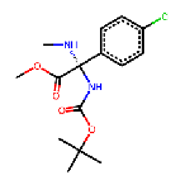 CN[C@](NC(=O)OC(C)(C)C)(C(=O)OC)c1ccc(Cl)cc1